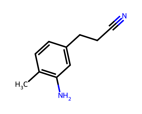 Cc1ccc(CCC#N)cc1N